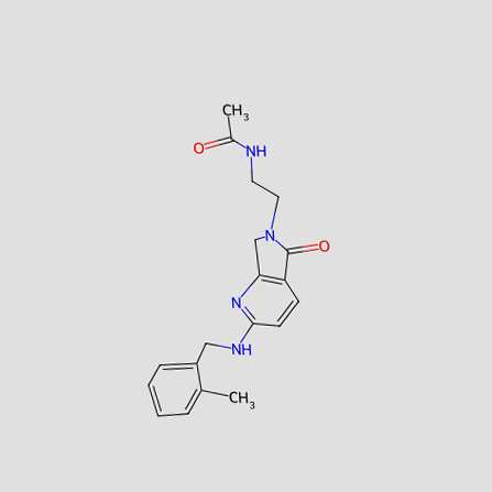 CC(=O)NCCN1Cc2nc(NCc3ccccc3C)ccc2C1=O